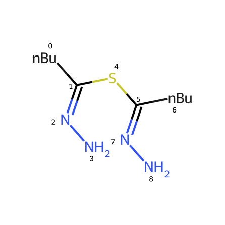 CCCCC(=NN)SC(CCCC)=NN